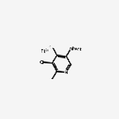 CCCCCc1cnc(C)c(Cl)c1Cl.[Pt+2]